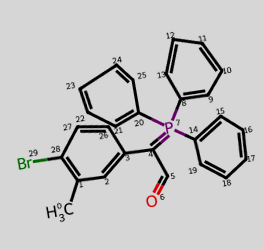 Cc1cc(C(C=O)=P(c2ccccc2)(c2ccccc2)c2ccccc2)ccc1Br